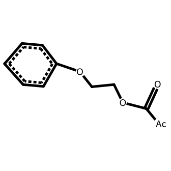 CC(=O)C(=O)OCCOc1ccccc1